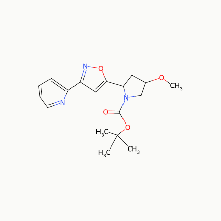 COC1CC(c2cc(-c3ccccn3)no2)N(C(=O)OC(C)(C)C)C1